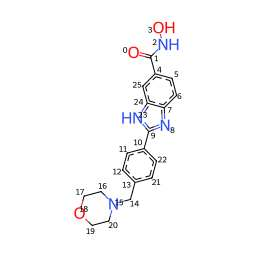 O=C(NO)c1ccc2nc(-c3ccc(CN4CCOCC4)cc3)[nH]c2c1